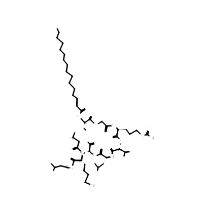 CCCCCCCCCCCCCCCC(=O)N[C@@H](CO)C(=O)NCC(=O)N[C@@H](CCCNC(=N)N)C(=O)N[C@H](C(=O)N[C@@H](CC(C)C)C(=O)N[C@@H](C)C(=O)N[C@H](C(=O)N[C@@H](CCCCN)C(=O)N[C@H](C)CC(C)C)[C@@H](C)O)C(C)C